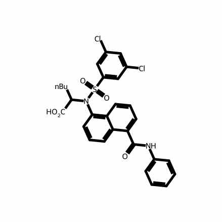 CCCCC(C(=O)O)N(c1cccc2c(C(=O)Nc3ccccc3)cccc12)S(=O)(=O)c1cc(Cl)cc(Cl)c1